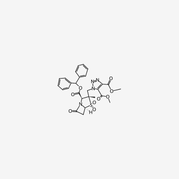 COC(=O)c1nnn(C[C@@]2(C)[C@H](C(=O)OC(c3ccccc3)c3ccccc3)N3C(=O)C[C@@H]3S2(=O)=O)c1C(=O)OC